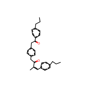 CCCc1ccc(C=C(C)C(=O)Cc2ccc(CC(=O)c3ccc(CCC)cc3)cc2)cc1